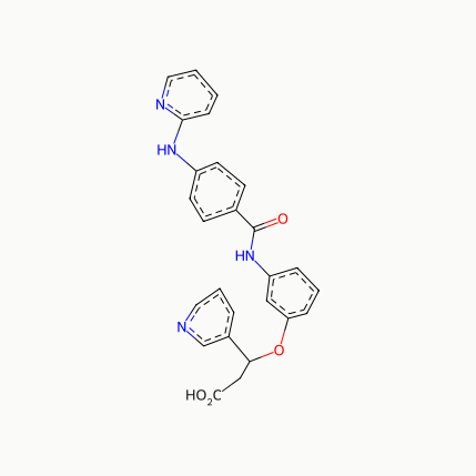 O=C(O)CC(Oc1cccc(NC(=O)c2ccc(Nc3ccccn3)cc2)c1)c1cccnc1